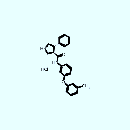 Cc1cccc(Oc2cccc(NC(=O)[C@H]3CNC[C@@H]3c3ccccc3)c2)c1.Cl